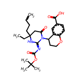 C=CCCC1(CC)CC(=O)N(C2CCOc3ccc(C(=O)O)cc32)/C(=N/C(=O)OC(C)(C)C)N1